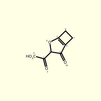 O=C(O)C(=O)C1OC2=C(CC2)C1=O